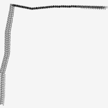 [CaH2].[CaH2].[CaH2].[CaH2].[CaH2].[CaH2].[CaH2].[CaH2].[CaH2].[CaH2].[CaH2].[CaH2].[CaH2].[CaH2].[CaH2].[CaH2].[CaH2].[CaH2].[CaH2].[CaH2].[CaH2].[CaH2].[CaH2].[CaH2].[CaH2].[CaH2].[CaH2].[CaH2].[CaH2].[CaH2].[NaH].[NaH].[NaH].[NaH].[NaH].[NaH].[NaH].[NaH].[NaH].[NaH].[NaH].[NaH].[NaH].[NaH].[NaH].[NaH].[NaH].[NaH].[NaH].[NaH].[NaH].[NaH].[NaH].[NaH].[NaH].[NaH].[NaH].[NaH].[NaH].[NaH].[NaH].[NaH].[NaH].[NaH].[NaH].[NaH].[NaH].[NaH].[NaH].[NaH].[NaH].[NaH].[NaH].[NaH].[NaH].[NaH].[NaH].[NaH].[NaH].[NaH].[NaH].[NaH].[NaH].[NaH].[NaH].[NaH].[NaH].[NaH].[NaH].[NaH].[NaH].[NaH].[NaH].[NaH].[NaH].[NaH].[NaH].[NaH].[NaH].[NaH]